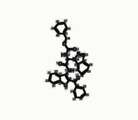 O=C(NC(C(=O)Nc1c(C(=O)c2ccccc2)oc2ccccc12)n1nnc2ccccc21)OCc1ccccc1